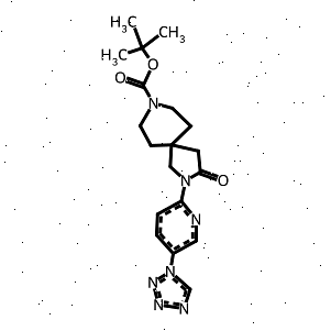 CC(C)(C)OC(=O)N1CCC2(CC1)CC(=O)N(c1ccc(-n3cnnn3)cn1)C2